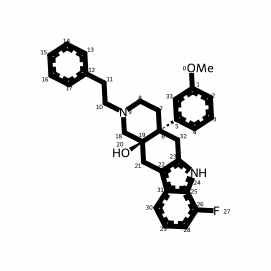 COc1cccc([C@@]23CCN(CCc4ccccc4)C[C@@]2(O)Cc2c([nH]c4c(F)cccc24)C3)c1